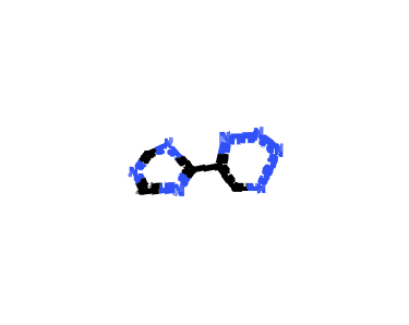 [c]1ncnc(-c2cnnnn2)n1